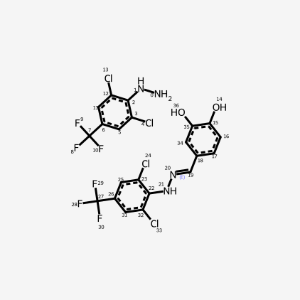 NNc1c(Cl)cc(C(F)(F)F)cc1Cl.Oc1ccc(/C=N/Nc2c(Cl)cc(C(F)(F)F)cc2Cl)cc1O